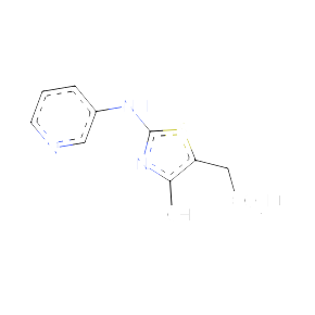 CCOC(=O)Cc1sc(Nc2cccnc2)nc1C